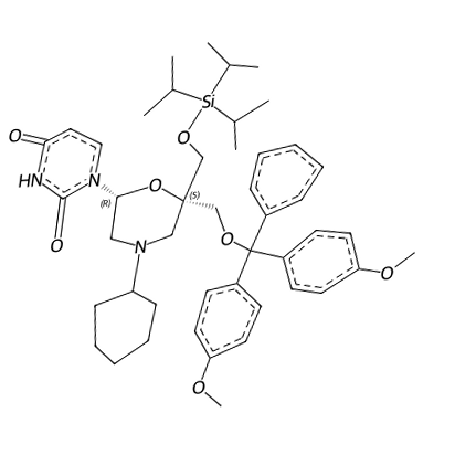 COc1ccc(C(OC[C@]2(CO[Si](C(C)C)(C(C)C)C(C)C)CN(C3CCCCC3)C[C@H](n3ccc(=O)[nH]c3=O)O2)(c2ccccc2)c2ccc(OC)cc2)cc1